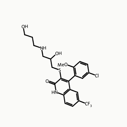 COc1ccc(Cl)cc1-c1c(SCC(O)CNCCCO)c(=O)[nH]c2ccc(C(F)(F)F)cc12